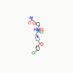 CN(C)C(=O)COc1cccc(C(=O)NCCN2CCC(C(=O)c3ccc(Cl)cc3)CC2)c1.Cl